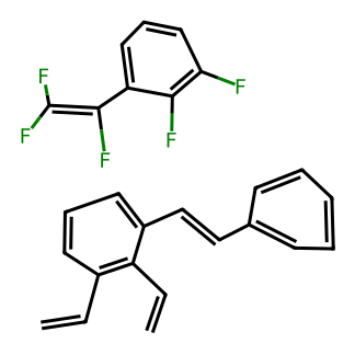 C=Cc1cccc(C=Cc2ccccc2)c1C=C.FC(F)=C(F)c1cccc(F)c1F